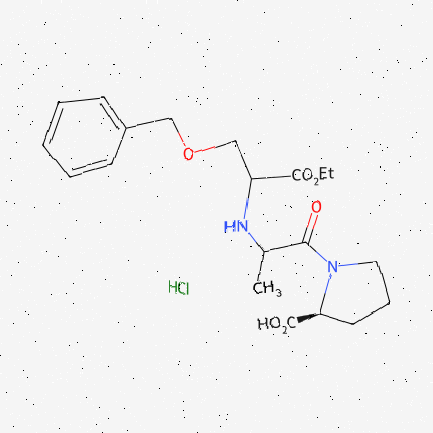 CCOC(=O)C(COCc1ccccc1)NC(C)C(=O)N1CCC[C@H]1C(=O)O.Cl